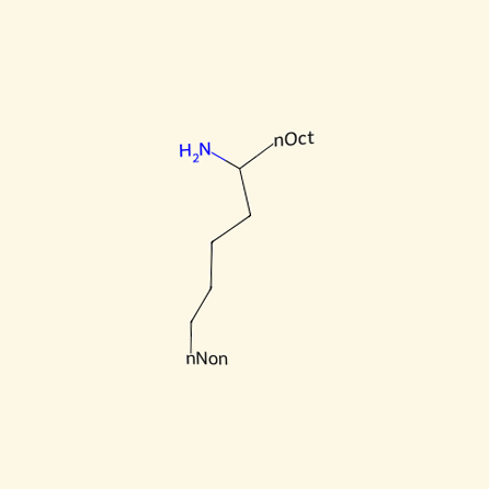 CCCCCCCCCCCCCC(N)CCCCCCCC